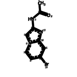 CC(=O)Nc1cn2ccc(Br)cc2n1